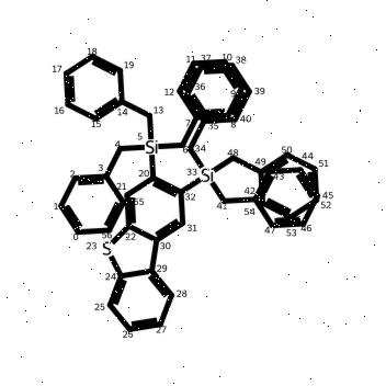 c1ccc(C[Si](Cc2ccccc2)(Cc2ccccc2)c2cc3sc4ccccc4c3cc2[Si](Cc2ccccc2)(Cc2ccccc2)Cc2ccccc2)cc1